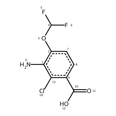 Nc1c(OC(F)F)ccc(C(=O)O)c1Cl